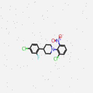 O=[N+]([O-])c1cccc(Cl)c1N1CCC(c2ccc(Cl)cc2F)CC1